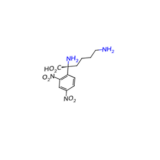 NCCCC[C@](N)(C(=O)O)c1ccc([N+](=O)[O-])cc1[N+](=O)[O-]